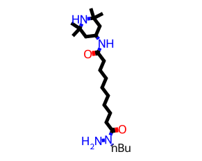 CCCCN(N)C(=O)CCCCCCCCC(=O)NC1CC(C)(C)NC(C)(C)C1